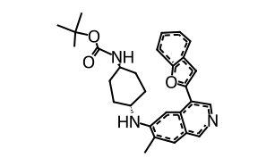 Cc1cc2cncc(-c3cc4ccccc4o3)c2cc1N[C@H]1CC[C@H](NC(=O)OC(C)(C)C)CC1